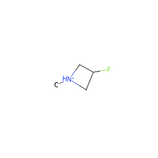 [CH2-][NH+]1CC(F)C1